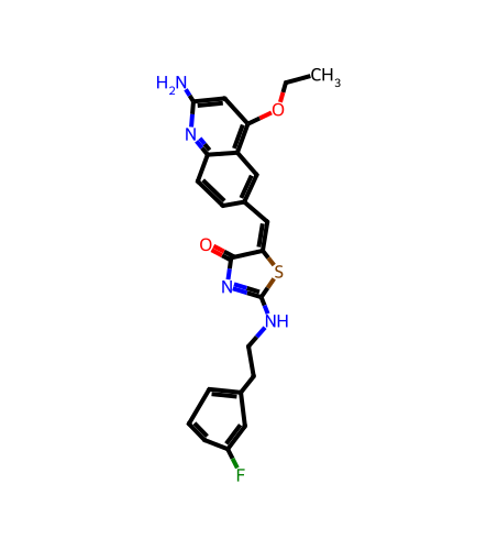 CCOc1cc(N)nc2ccc(/C=C3/SC(NCCc4cccc(F)c4)=NC3=O)cc12